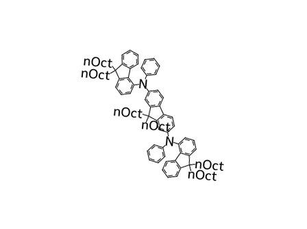 CCCCCCCCC1(CCCCCCCC)c2cc(N(c3ccccc3)c3cccc4c3-c3ccccc3C4(CCCCCCCC)CCCCCCCC)ccc2-c2ccc(N(c3ccccc3)c3cccc4c3-c3ccccc3C4(CCCCCCCC)CCCCCCCC)cc21